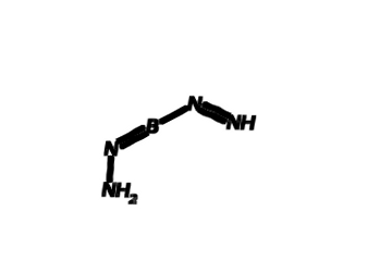 N=N/B=N/N